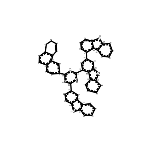 C1=Cc2c(ccc3ccc(-c4nc(-c5ccc6oc7ccccc7c6c5)nc(-c5cc(-c6cccc7oc8ccccc8c67)cc6oc7ccccc7c56)n4)cc23)CC1